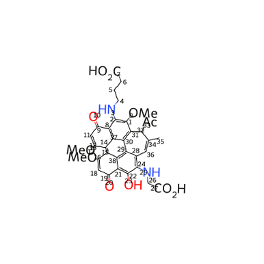 COc1c(NCCCC(=O)O)c2c(=O)cc(OC)c3c4c(OC)cc(=O)c5c(O)c(NCC(=O)O)c6c(c(c1C(C(C)=O)C(C)=C6)c23)c54